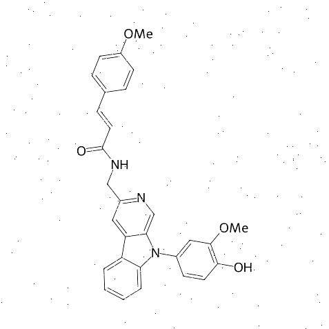 COc1ccc(/C=C/C(=O)NCc2cc3c4ccccc4n(-c4ccc(O)c(OC)c4)c3cn2)cc1